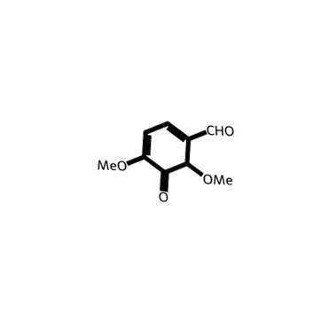 COC1=CC=C(C=O)C(OC)C1=O